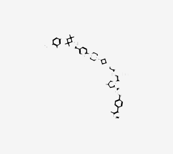 Cc1ncsc1-c1ccc([C@H](C)NC(=O)[C@H]2C[C@@H](O)CN2C(=O)[C@@H](NC(=O)CO[C@H]2C[C@H](N3CCN(c4ccc(C(=O)N[C@H]5C(C)(C)[C@H](Oc6ccc(C#N)c(Cl)c6)C5(C)C)cn4)CC3)C2)C(C)(C)C)cc1